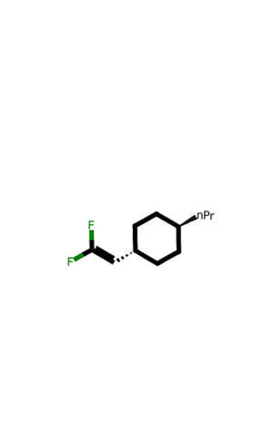 CCC[C@H]1CC[C@H](C=C(F)F)CC1